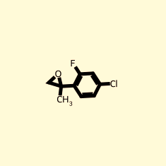 CC1(c2ccc(Cl)cc2F)CO1